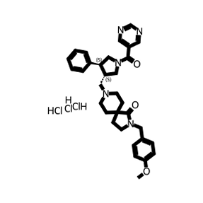 COc1ccc(CN2CCC3(CCN(C[C@H]4CN(C(=O)c5cncnc5)C[C@@H]4c4ccccc4)CC3)C2=O)cc1.Cl.Cl.Cl